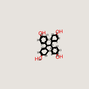 OC1=CC=C(C(c2ccc(O)cc2)C(C2=CC=C(O)CC2)c2ccc(O)cc2)CC1